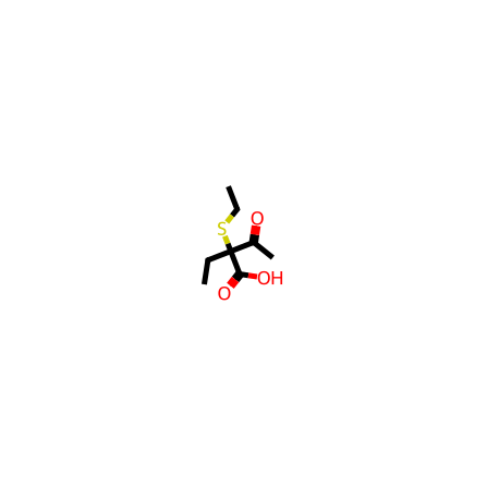 CCSC(CC)(C(C)=O)C(=O)O